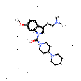 COc1ccc2c(CCN(C)C)cn(C(=O)N3CCC(N4CCCCC4)CC3)c2c1